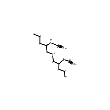 CCCC(CSCC(CCC)SC#N)SC#N